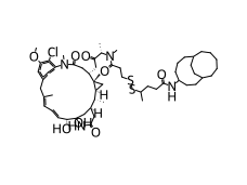 COc1cc2cc(c1Cl)N(C)C(=O)C[C@H](CC(=O)[C@H](C)N(C)C(=O)CCSSC(C)CCC(=O)NC1CCCC3CCCCCC(CC3)CC1)[C@]1(C)C[C@H]1[C@H](C)[C@H]1CC(=O)N[C@](O)(C1)[C@H](O)/C=C/C=C(\C)C2